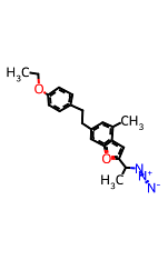 CCOc1ccc(CCc2cc(C)c3cc(C(C)N=[N+]=[N-])oc3c2)cc1